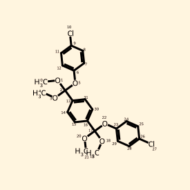 COC(OC)(Oc1ccc(Cl)cc1)c1ccc(C(OC)(OC)Oc2ccc(Cl)cc2)cc1